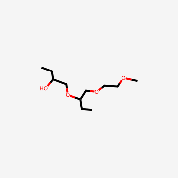 CCC(O)COC(CC)COCCOC